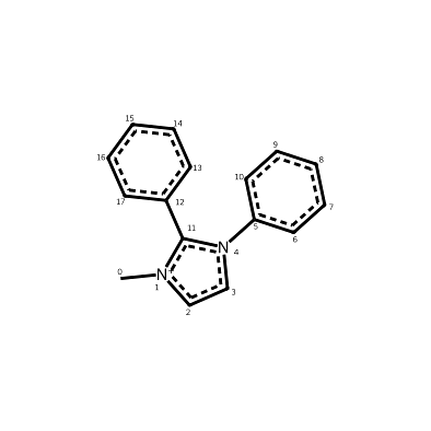 C[n+]1ccn(-c2ccccc2)c1-c1ccccc1